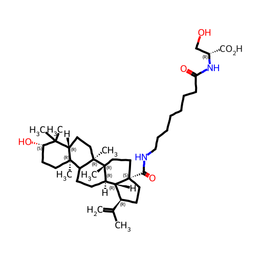 C=C(C)[C@@H]1CC[C@]2(C(=O)NCCCCCCCC(=O)N[C@H](CO)C(=O)O)CC[C@]3(C)[C@H](CCC4[C@@]5(C)CC[C@H](O)C(C)(C)[C@@H]5CC[C@]43C)[C@@H]12